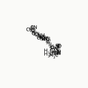 Cc1sc2c(c1C)C(c1ccc(CC[C@@H]3CC[C@@]4(CCCN(c5ccc(C(=O)N[C@H]6CC[C@H](Oc7ccc(C#N)c(Cl)c7)CC6)nn5)C4)C3)cc1)=N[C@H](Cc1ncco1)c1nnc(C)n1-2